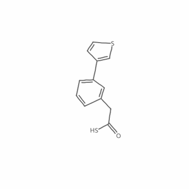 O=C(S)Cc1cccc(-c2ccsc2)c1